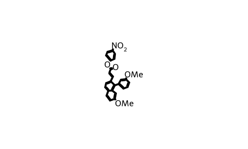 COc1cccc(-c2c(/C=C/C(=O)Oc3ccc([N+](=O)[O-])cc3)ccc3ccc(OC)cc23)c1